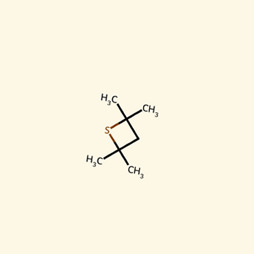 CC1(C)CC(C)(C)S1